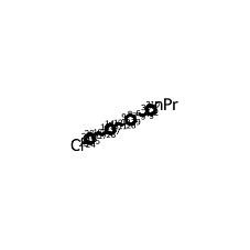 CCCc1ccc(CC[C@H]2CC[C@H](CCc3ccc(CCc4ccc(Cl)cc4)cc3)CC2)cc1